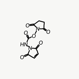 O=C(NN1C(=O)C=CC1=O)ON1C(=O)CCC1=O